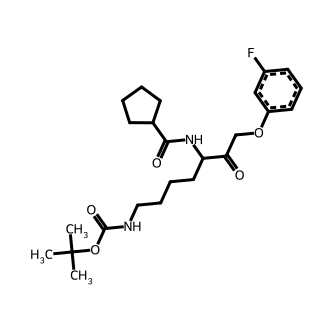 CC(C)(C)OC(=O)NCCCCC(NC(=O)C1CCCC1)C(=O)COc1cccc(F)c1